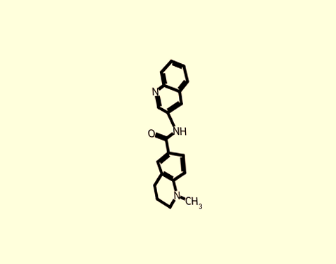 CN1CCCc2cc(C(=O)Nc3cnc4ccccc4c3)ccc21